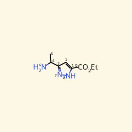 CCOC(=O)c1cc(C(C)N)n[nH]1